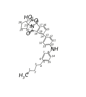 CCCCCc1ccc(Nc2ccc(-c3ccc4c(c3)C(=O)N(C3(C(=O)O)CCCC3)C4)cc2)cc1